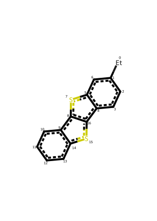 CCc1ccc2c(c1)sc1c3ccccc3sc21